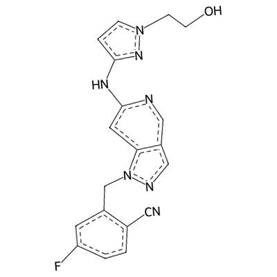 N#Cc1ccc(F)cc1Cn1ncc2cnc(Nc3ccn(CCO)n3)cc21